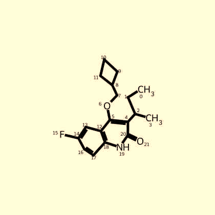 CCC(C)c1c(OCC2CCC2)c2cc(F)ccc2[nH]c1=O